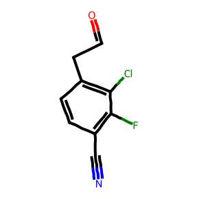 N#Cc1ccc(CC=O)c(Cl)c1F